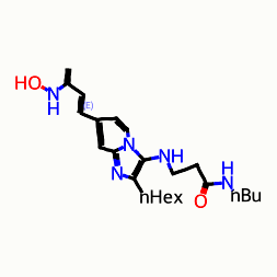 C=C(/C=C/c1ccn2c(NCCC(=O)NCCCC)c(CCCCCC)nc2c1)NO